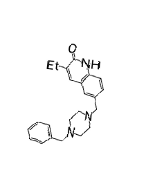 CCc1cc2cc(CN3CCN(Cc4ccccc4)CC3)ccc2[nH]c1=O